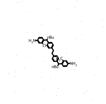 CCCCC(c1ccc(CCc2ccc(C(CCCC)c3ccc(N)cc3C)cc2)cc1)c1ccc(N)cc1C